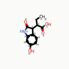 CCC(C(=O)O)C1C(=O)Nc2cc(O)ccc21